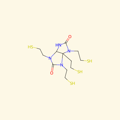 O=C1NC2N(CCS)C(=O)N(CCS)C2(CCS)N1CCS